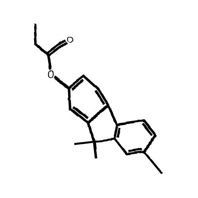 CCC(=O)Oc1ccc2c(c1)C(C)(C)c1cc(C)ccc1-2